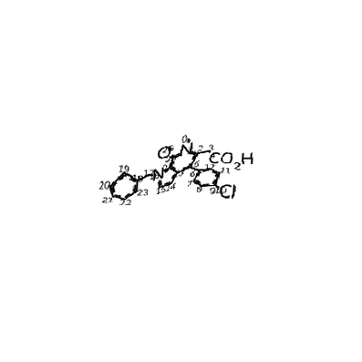 Cn1c(CC(=O)O)c(-c2ccc(Cl)cc2)c2ccn(Cc3ccccc3)c2c1=O